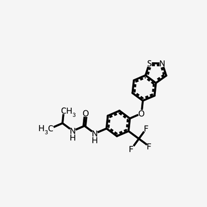 CC(C)NC(=O)Nc1ccc(Oc2ccc3sncc3c2)c(C(F)(F)F)c1